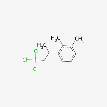 Cc1cccc(C(C)CC(Cl)(Cl)Cl)c1C